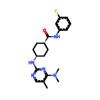 Cc1cnc(N[C@H]2CC[C@@H](C(=O)Nc3cccc(F)c3)CC2)nc1N(C)C